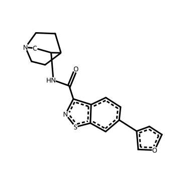 O=C(NC1CN2CCC1CC2)c1nsc2cc(-c3ccoc3)ccc12